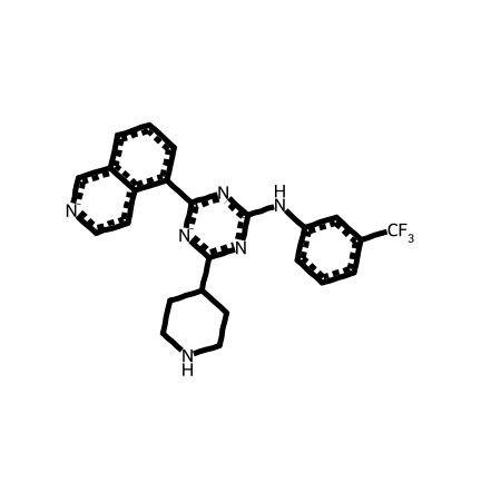 FC(F)(F)c1cccc(Nc2nc(-c3cccc4cnccc34)nc(C3CCNCC3)n2)c1